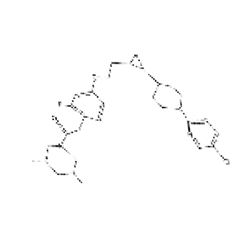 CC1CC(C)CN(C(=O)Cc2ccc(OCCC3CC3C3CCN(c4ncc(Cl)cn4)CC3)cc2F)C1